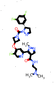 CN(C)CCNC(=O)c1cnn(C)c1-c1cc(OC2CN(C(=O)N3N=CC[C@H]3c3cc(F)cc(F)c3)C2)c(F)cn1